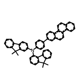 CC1(C)c2ccccc2-c2ccc(N(c3ccc(-c4ccc5c(ccc6c7ccccc7ccc56)c4)cc3)c3cccc4c3-c3ccccc3C4(C)C)cc21